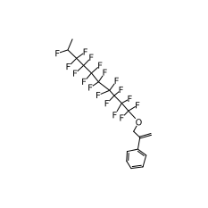 C=C(COC(F)(F)C(F)(F)C(F)(F)C(F)(F)C(F)(F)C(F)(F)C(F)(F)C(F)(F)C(C)F)c1ccccc1